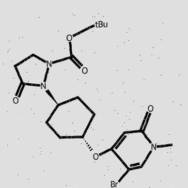 Cn1cc(Br)c(O[C@H]2CC[C@H](N3C(=O)CCN3C(=O)OC(C)(C)C)CC2)cc1=O